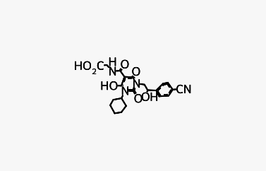 N#Cc1ccc(C(O)Cn2c(=O)c(C(=O)NCC(=O)O)c(O)n(C3CCCCC3)c2=O)cc1